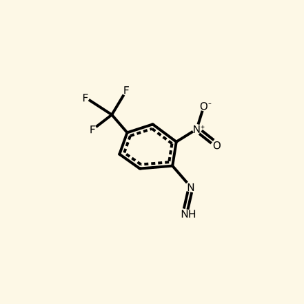 N=Nc1ccc(C(F)(F)F)cc1[N+](=O)[O-]